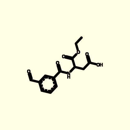 CCOC(=O)C(CC(=O)O)NC(=O)c1cccc(C=O)c1